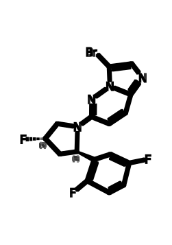 Fc1ccc(F)c([C@H]2C[C@H](F)CN2c2ccc3ncc(Br)n3n2)c1